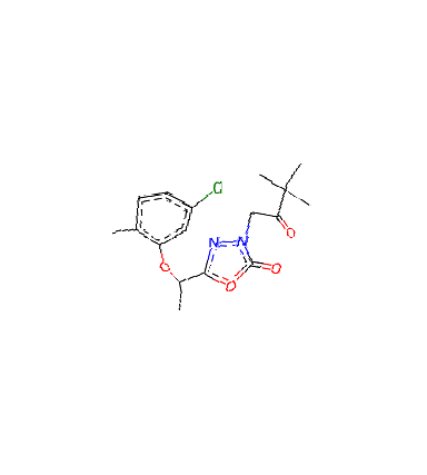 Cc1ccc(Cl)cc1OC(C)c1nn(CC(=O)C(C)(C)C)c(=O)o1